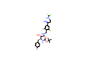 CC(C)(C)OC(=O)N[C@@H](Cc1ccc(I)cc1)[C@@H](O)CNCc1c(F)cc(C(=N)/C=C\NC(F)F)cc1F